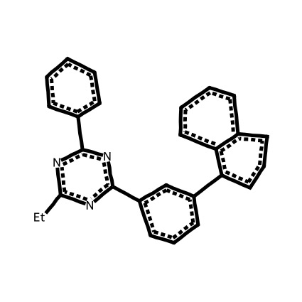 CCc1nc(-c2ccccc2)nc(-c2cccc(-c3cccc4ccccc34)c2)n1